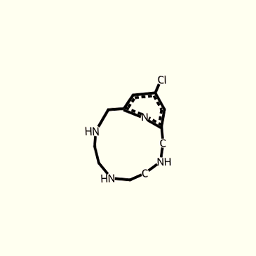 Clc1cc2nc(c1)CNCCNCCNC2